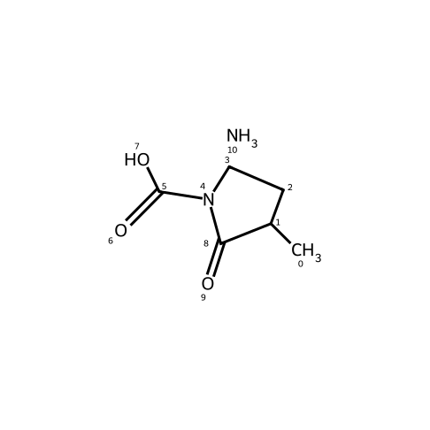 CC1CCN(C(=O)O)C1=O.N